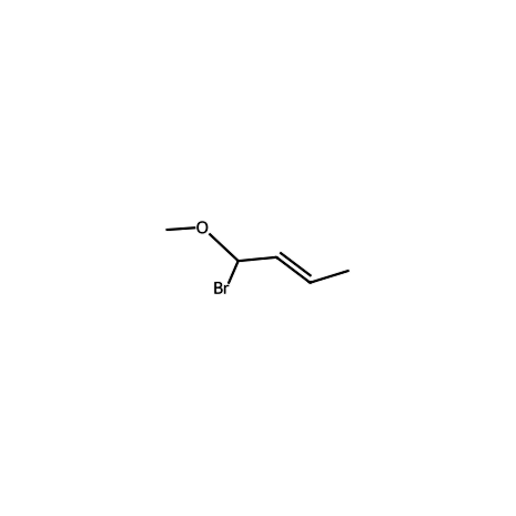 CC=CC(Br)OC